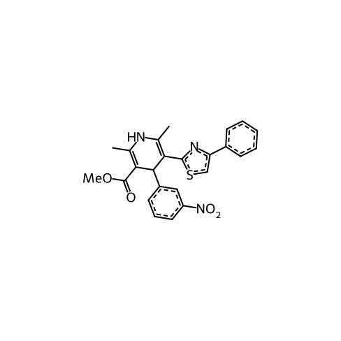 COC(=O)C1=C(C)NC(C)=C(c2nc(-c3ccccc3)cs2)C1c1cccc([N+](=O)[O-])c1